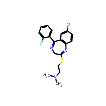 CN(C)CCSC1=Nc2ccc(Cl)cc2C(c2ccccc2F)=NC1